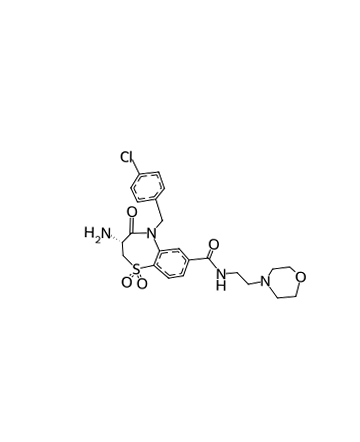 N[C@H]1CS(=O)(=O)c2ccc(C(=O)NCCN3CCOCC3)cc2N(Cc2ccc(Cl)cc2)C1=O